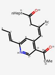 CC=Cc1cc(C=C(CC(=O)CCCCCCC)C(C)=O)c(C(=O)OC)cn1